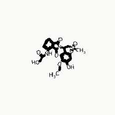 CCOc1cc(C(CS(C)(=O)=O)N2C(=O)c3cccc(NC(=O)CO)c3C2=O)ccc1O